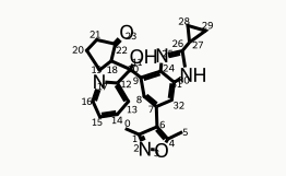 Cc1noc(C)c1-c1cc(C(O)(c2ccccn2)C2CCCC2=O)c2nc(C3CC3)[nH]c2c1